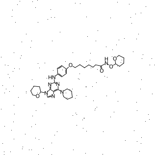 O=C(CCCCCCOc1ccc(Nc2nc(N3CCCCC3)c3ncn(C4CCCCO4)c3n2)cc1)NOC1CCCCO1